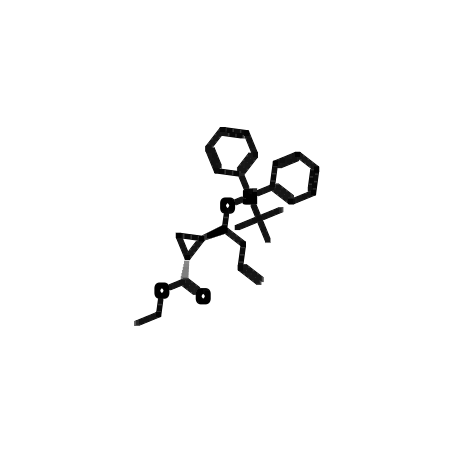 C=CCC(O[Si](c1ccccc1)(c1ccccc1)C(C)(C)C)[C@@H]1C[C@H]1C(=O)OCC